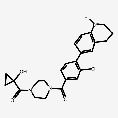 CCN1CCCc2cc(-c3ccc(C(=O)N4CCN(C(=O)C5(O)CC5)CC4)cc3Cl)ccc21